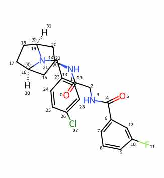 O=C(CNC(=O)c1cccc(F)c1)N[C@H]1C[C@H]2CC[C@@H](C1)N2Cc1ccc(Cl)cc1